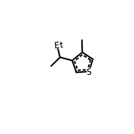 CCC(C)c1cscc1C